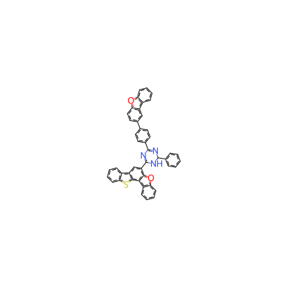 c1ccc(C2N=C(c3ccc(-c4ccc5oc6ccccc6c5c4)cc3)N=C(c3cc4c5ccccc5sc4c4c3oc3ccccc34)N2)cc1